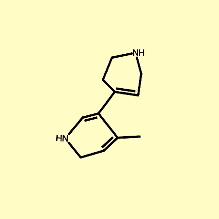 CC1=CCNC=C1C1=CCNCC1